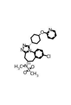 CN([C@H]1Cc2cc(Cl)ccc2-n2c(nnc2[C@H]2CC[C@H](Oc3ccccn3)CC2)C1)S(C)(=O)=O